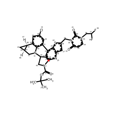 CC(C)(C)OC(=O)N1CCC(N2C[C@H]3C[C@H]3c3cc(Cl)cc(-c4ccnc5cc(Cn6c(=O)ccn(CC(F)F)c6=O)sc45)c32)C1